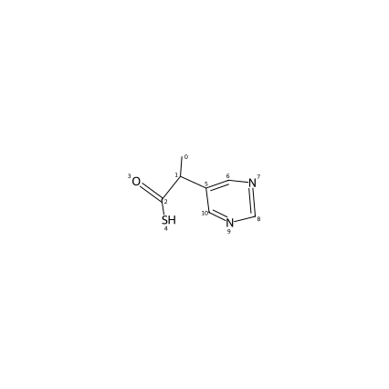 CC(C(=O)S)c1cncnc1